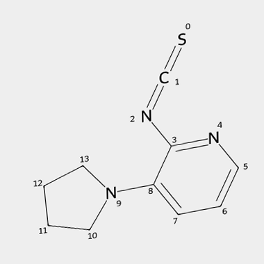 S=C=Nc1ncccc1N1CCCC1